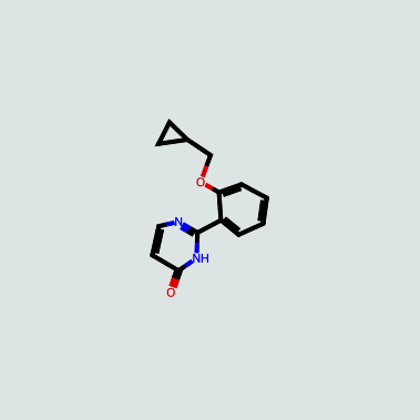 O=c1ccnc(-c2ccccc2OCC2CC2)[nH]1